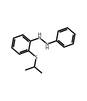 CC(C)Sc1ccccc1NNc1ccccc1